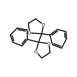 c1ccc(C2(C3(c4ccccc4)OCCO3)OCCO2)cc1